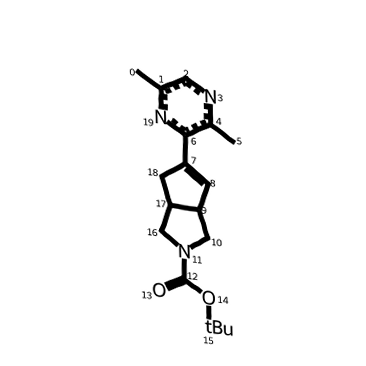 Cc1cnc(C)c(C2=CC3CN(C(=O)OC(C)(C)C)CC3C2)n1